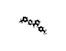 O=C(O)c1ccc(Oc2ncccc2C(=O)N2CCN(c3cccc(C(F)(F)F)c3)CC2)cc1